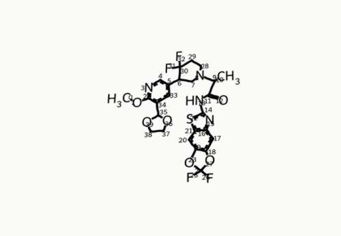 COc1ncc(C2CN(C(C)C(=O)Nc3nc4cc5c(cc4s3)OC(F)(F)O5)CCC2(F)F)cc1C1OCCO1